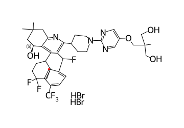 Br.Br.CC1(C)Cc2nc(C3CCN(c4ncc(OCC(C)(CO)CO)cn4)CC3)c(C(F)c3ccc(C(F)(F)F)cc3)c(C3CCC(F)(F)CC3)c2[C@@H](O)C1